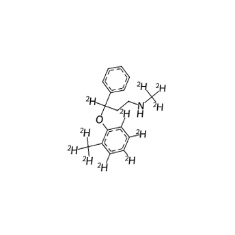 [2H]c1c([2H])c([2H])c(C([2H])([2H])[2H])c(OC([2H])(CCNC([2H])([2H])[2H])c2ccccc2)c1[2H]